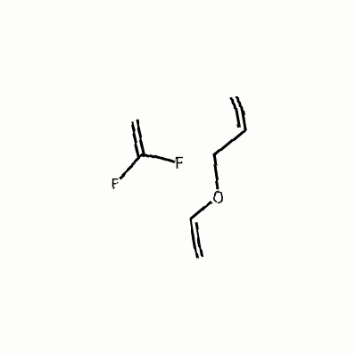 C=C(F)F.C=CCOC=C